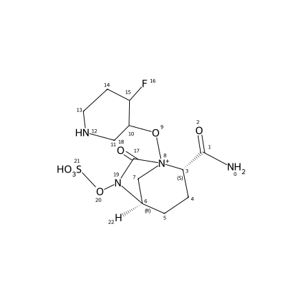 NC(=O)[C@@H]1CC[C@@H]2C[N+]1(OC1CNCCC1F)C(=O)N2OS(=O)(=O)O